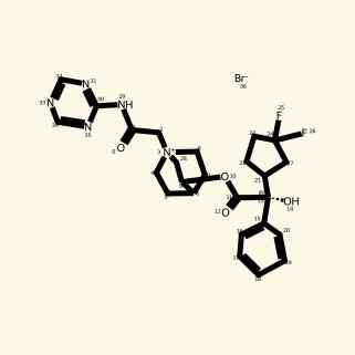 O=C(C[N+]12CCC(CC1)C(OC(=O)[C@](O)(c1ccccc1)C1CCC(F)(F)C1)C2)Nc1ncncn1.[Br-]